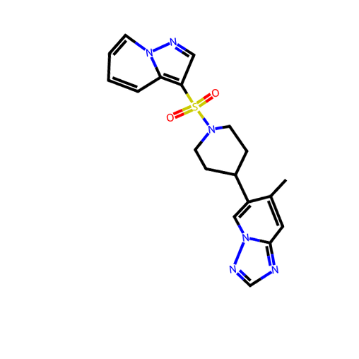 Cc1cc2ncnn2cc1C1CCN(S(=O)(=O)c2cnn3ccccc23)CC1